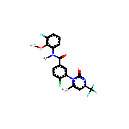 COc1c(F)cccc1N(C)C(=O)c1ccc(Cl)c(-n2c(C)cc(C(F)(F)F)nc2=O)c1